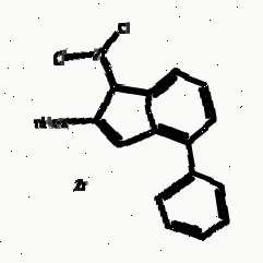 CCCCCCC1=Cc2c(-c3ccccc3)cccc2[CH]1[Zr]([Cl])[Cl].[Zr]